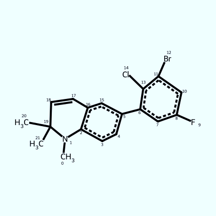 CN1c2ccc(-c3cc(F)cc(Br)c3Cl)cc2C=CC1(C)C